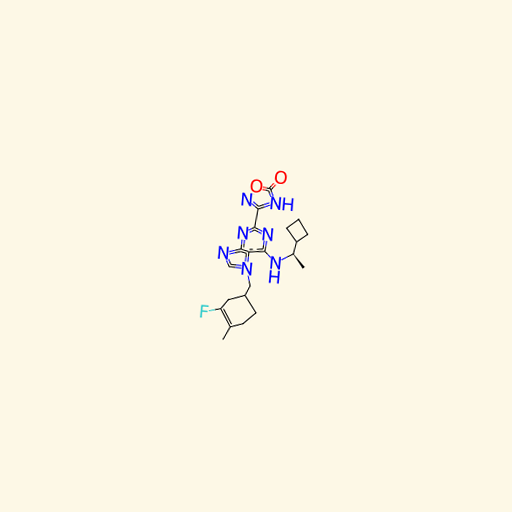 CC1=C(F)CC(Cn2cnc3nc(-c4noc(=O)[nH]4)nc(N[C@H](C)C4CCC4)c32)CC1